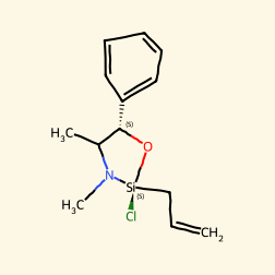 C=CC[Si@@]1(Cl)O[C@@H](c2ccccc2)C(C)N1C